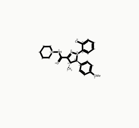 COc1ccc([C@H]2[C@H](C)C(C(=O)NN3CCCCC3)=NN2c2ccccc2Cl)cc1